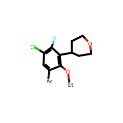 CCOc1c(C(C)=O)cc(Cl)c(F)c1C1CCOCC1